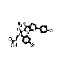 Nc1c(C(=O)N(CCC(=O)O)c2ccc(Br)cc2)sc2nc(-c3ccc(Cl)cc3)ccc12